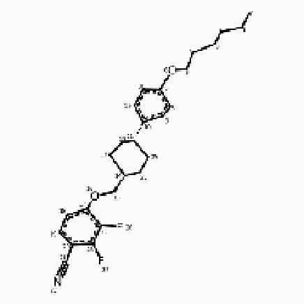 CCCCCCOc1ccc([C@H]2CC[C@H](COc3ccc(C#N)c(F)c3F)CC2)cc1